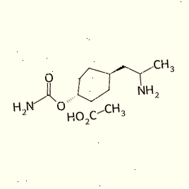 CC(=O)O.CC(N)C[C@H]1CC[C@H](OC(N)=O)CC1